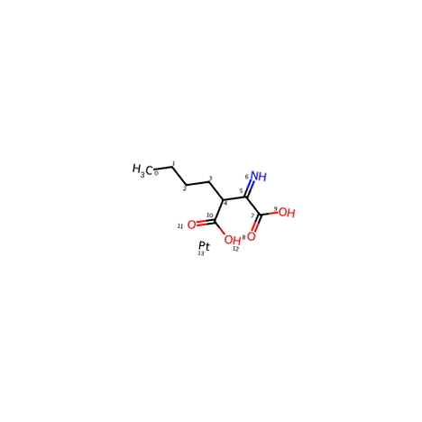 CCCCC(C(=N)C(=O)O)C(=O)O.[Pt]